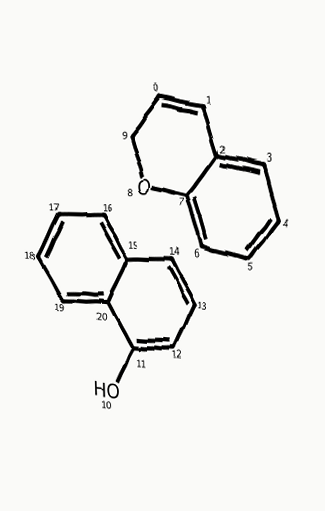 C1=Cc2ccccc2OC1.Oc1cccc2ccccc12